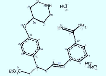 CCOC(=O)CN(C/C=C/c1cccc(C(=N)N)c1)c1ccc(OC2CCNCC2)cc1.Cl.Cl.Cl